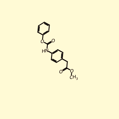 COC(=O)Cc1ccc(NC(=O)Oc2ccccc2)cc1